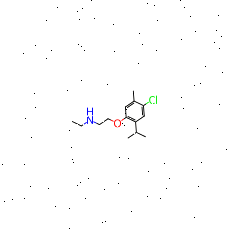 CCNCCOc1cc(C)c(Cl)cc1C(C)C